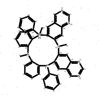 CN1c2ccccc2P(c2ccccc2)c2cc3cncnc3cc2N(C)c2cc3ncncc3cc2[PH](C)(c2ccccc2)c2ccccc21